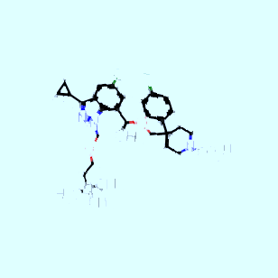 CC(OCC1(c2ccc(F)cc2)CCN(C(=O)O)CC1)c1cc(Cl)cc2c(C3CC3)nn(COCC[Si](C)(C)C)c12